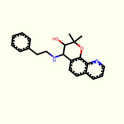 CC1(C)Oc2c(ccc3cccnc23)C(NCCc2ccccc2)C1O